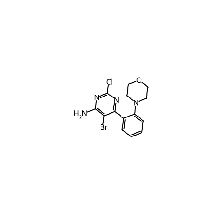 Nc1nc(Cl)nc(-c2ccccc2N2CCOCC2)c1Br